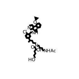 CC(=O)NCCCCN(CCCC(C)c1ccc(Cl)c(CNC2(c3cnccc3-c3ccccc3OC3CC3)CC2)c1)C(=O)C(O)CCCCO